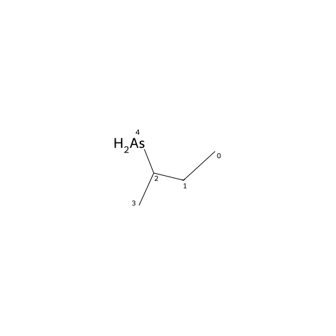 CCC(C)[AsH2]